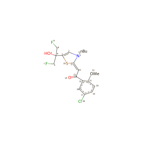 CCCCN1C=C(C(O)(CF)CF)SC1=CC(=O)c1cc(Cl)ccc1OC